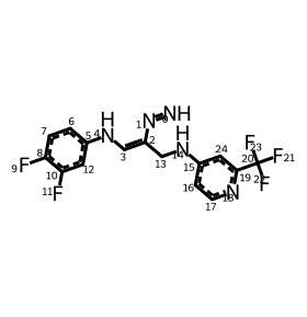 N=N/C(=C\Nc1ccc(F)c(F)c1)CNc1ccnc(C(F)(F)F)c1